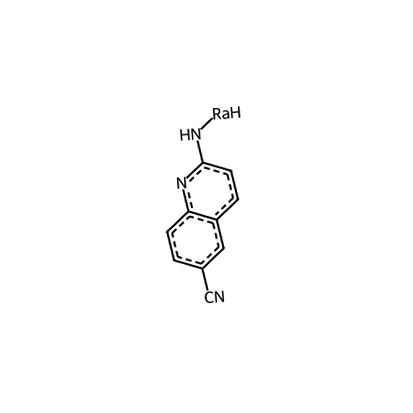 N#Cc1ccc2nc([NH][RaH])ccc2c1